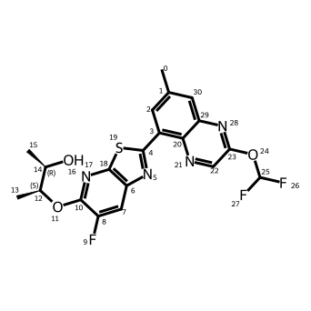 Cc1cc(-c2nc3cc(F)c(O[C@@H](C)[C@@H](C)O)nc3s2)c2ncc(OC(F)F)nc2c1